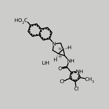 Cc1[nH]c(C(=O)NC2[C@H]3CN(c4ccc5cc(C(=O)O)ccc5c4)C[C@@H]23)c(Cl)c1Cl.[LiH]